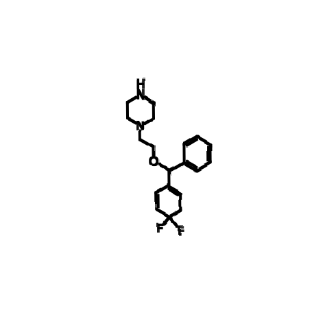 FC1(F)C=CC(C(OCCN2CCNCC2)c2ccccc2)=CC1